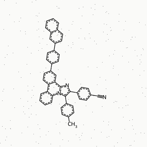 Cc1ccc(-c2c(-c3ccc(C#N)cc3)nc3c4cc(-c5ccc(-c6ccc7ccccc7c6)cc5)ccc4c4ccccc4n23)cc1